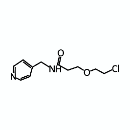 O=C(CCOCCCl)NCc1ccncc1